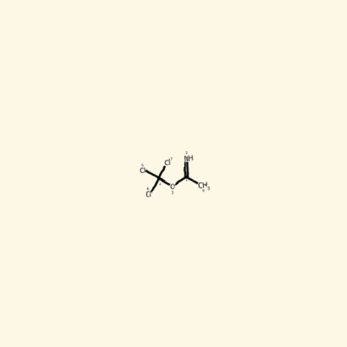 CC(=N)OC(Cl)(Cl)Cl